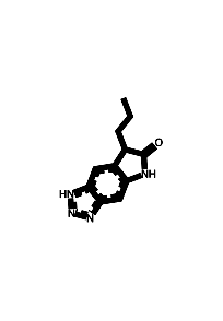 CCCC1C(=O)Nc2cc3nn[nH]c3cc21